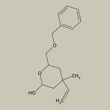 C=CC1(C)CC(O)OC(COCc2ccccc2)C1